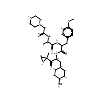 COc1ccc(CC(NC(=O)C(C)NC(=O)CN2CCOCC2)C(=O)NC(CC2CCC(O)CC2)C(=O)C2(C)CO2)cc1